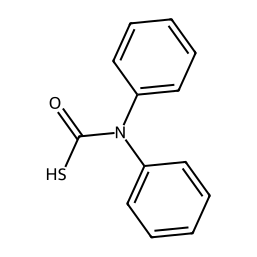 O=C(S)N(c1ccccc1)c1ccccc1